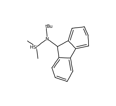 C[SiH](C)N(C1c2ccccc2-c2ccccc21)C(C)(C)C